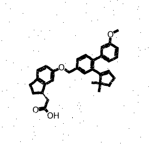 COc1cccc(-c2ccc(COc3ccc4c(c3)[C@@H](CC(=O)O)CC4)cc2C2=CCCC2(C)C)c1